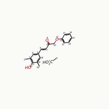 CC(=O)O.Cc1cc(C=CC(=O)COc2ccccc2)cc(C)c1O